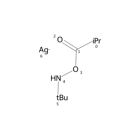 CC(C)C(=O)ONC(C)(C)C.[Ag]